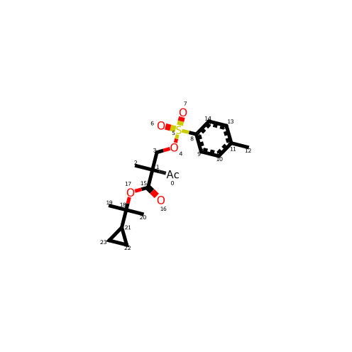 CC(=O)C(C)(COS(=O)(=O)c1ccc(C)cc1)C(=O)OC(C)(C)C1CC1